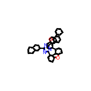 C1=CC(c2nc(-c3ccc4ccccc4c3)nc(-c3cccc4oc5cccc(-c6cccc7oc8ccccc8c67)c5c34)n2)CC=C1c1ccccc1